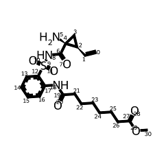 C=C[C@@H]1C[C@@]1(N)C(=O)NS(=O)(=O)c1ccccc1NC(=O)CCCCCCC(=O)OC